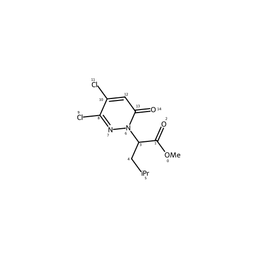 COC(=O)C(CC(C)C)n1nc(Cl)c(Cl)cc1=O